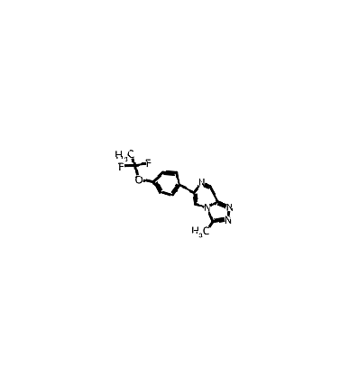 Cc1nnc2cnc(-c3ccc(OC(C)(F)F)cc3)cn12